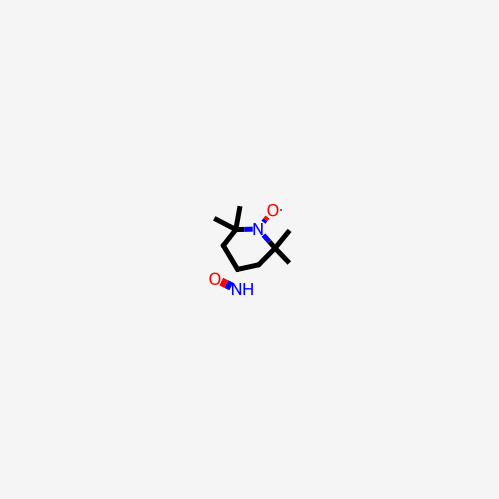 CC1(C)CCCC(C)(C)N1[O].N=O